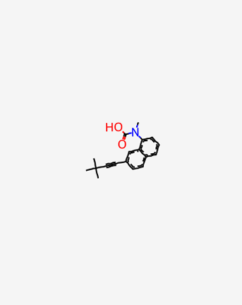 CN(C(=O)O)c1cccc2ccc(C#CC(C)(C)C)cc12